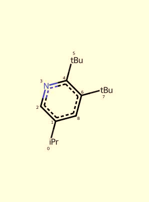 CC(C)c1cnc(C(C)(C)C)c(C(C)(C)C)c1